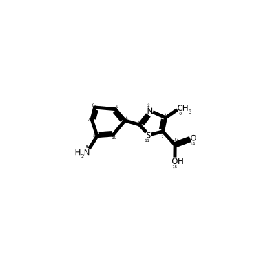 Cc1nc(-c2cccc(N)c2)sc1C(=O)O